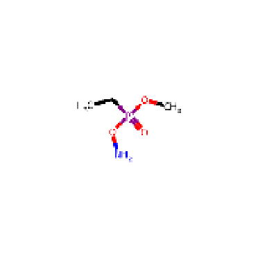 CCP(=O)(OC)ON